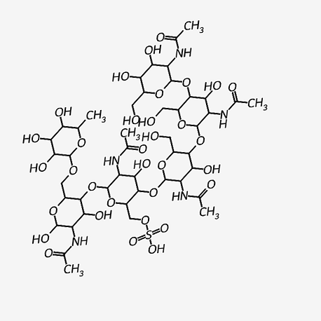 CC(=O)NC1C(O)OC(COC2OC(C)C(O)C(O)C2O)C(OC2OC(COS(=O)(=O)O)C(OC3OC(CO)C(OC4OC(CO)C(OC5OC(CO)C(O)C(O)C5NC(C)=O)C(O)C4NC(C)=O)C(O)C3NC(C)=O)C(O)C2NC(C)=O)C1O